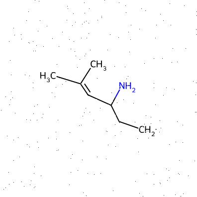 [CH2]CC(N)C=C(C)C